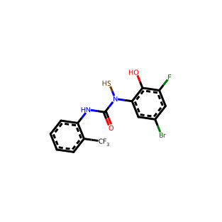 O=C(Nc1ccccc1C(F)(F)F)N(S)c1cc(Br)cc(F)c1O